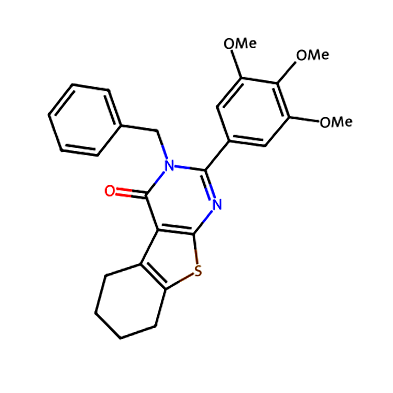 COc1cc(-c2nc3sc4c(c3c(=O)n2Cc2ccccc2)CCCC4)cc(OC)c1OC